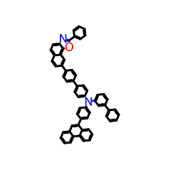 c1ccc(-c2cccc(N(c3ccc(-c4ccc(-c5ccc6ccc7nc(-c8ccccc8)oc7c6c5)cc4)cc3)c3ccc(-c4cc5ccccc5c5ccccc45)cc3)c2)cc1